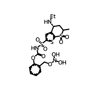 CCN[C@H]1CC(C)S(=O)(=O)c2sc(S(=O)(=O)NC(=O)Oc3ccccc3CON(O)O)cc21